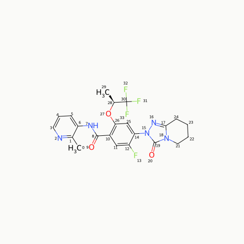 Cc1ncccc1NC(=O)c1cc(F)c(-n2nc3n(c2=O)CCCC3)cc1O[C@@H](C)C(F)(F)F